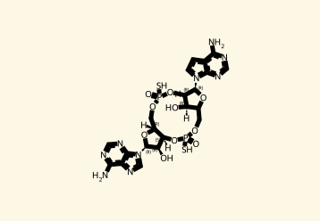 Nc1ncnc2c1ccn2[C@@H]1OC2COP(=O)(S)O[C@H]3[C@@H](O)[C@H](n4cnc5c(N)ncnc54)O[C@@H]3COP(=O)(S)O[C@@H]1[C@@H]2O